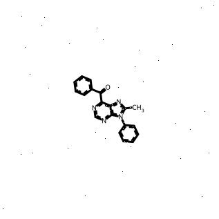 Cc1nc2c(C(=O)c3ccccc3)ncnc2n1-c1ccccc1